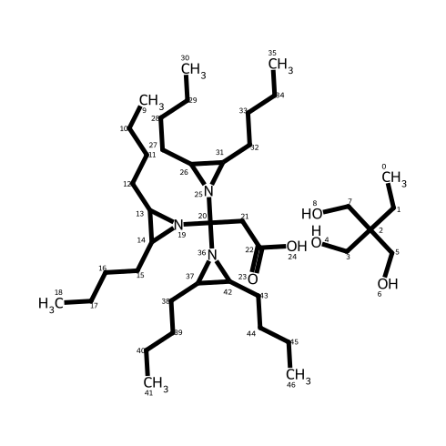 CCC(CO)(CO)CO.CCCCC1C(CCCC)N1C(CC(=O)O)(N1C(CCCC)C1CCCC)N1C(CCCC)C1CCCC